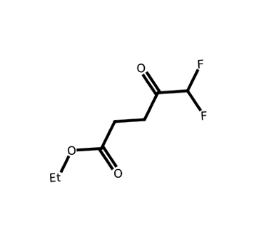 CCOC(=O)CCC(=O)C(F)F